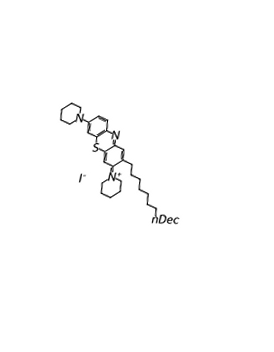 CCCCCCCCCCCCCCCCCc1cc2nc3ccc(N4CCCCC4)cc3sc-2cc1=[N+]1CCCCC1.[I-]